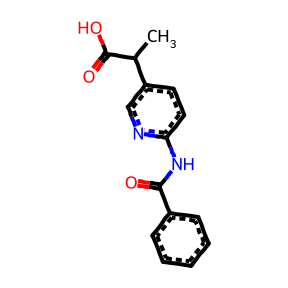 CC(C(=O)O)c1ccc(NC(=O)c2ccccc2)nc1